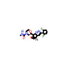 CNC(=O)N1CCO[C@@H]([C@@]23CC[C@@H](c4cc(-c5c(F)cccc5F)nnc42)C3(C)C)C1